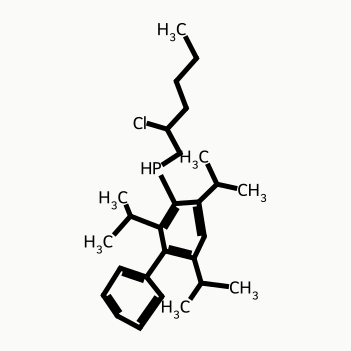 CCCCC(Cl)CPc1c(C(C)C)cc(C(C)C)c(-c2ccccc2)c1C(C)C